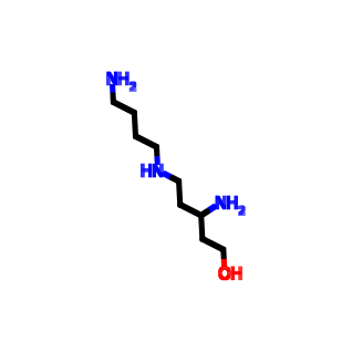 NCCCCNCCC(N)CCO